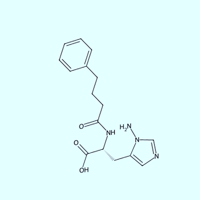 Nn1cncc1C[C@@H](NC(=O)CCCc1ccccc1)C(=O)O